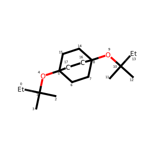 CCC(C)(C)OC12CCC(OC(C)(C)CC)(CC1)CC2